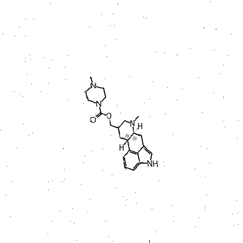 CN1CCN(C(=O)OCC2C[C@H]3c4cccc5[nH]cc(c45)C[C@@H]3N(C)C2)CC1